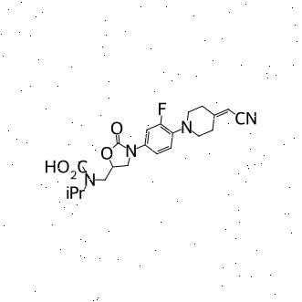 CC(C)N(CC1CN(c2ccc(N3CCC(=CC#N)CC3)c(F)c2)C(=O)O1)C(=O)O